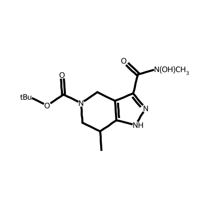 CC1CN(C(=O)OC(C)(C)C)Cc2c(C(=O)N(C)O)n[nH]c21